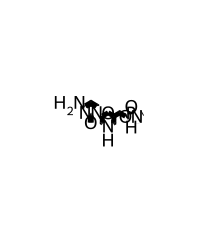 CN(C)[PH](=O)OCC1CNCC(n2ccc(N)nc2=O)O1